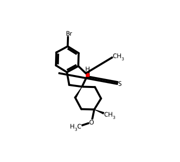 CO[C@]1(C)CC[C@@]2(CC1)Cc1ccc(Br)cc1C21N=C(C)C(=S)N1